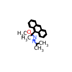 COC(C)(N=NC(C)C)c1c2ccccc2cc2ccccc12